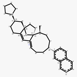 C[C@H]1CC[C@H](c2ccc3ccncc3c2)CC/C=C2/C=C3CC[C@@H](N4CCCC4)C[C@]34CC[C@@]21O4